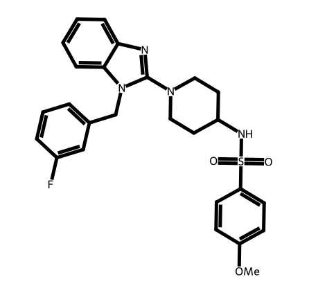 COc1ccc(S(=O)(=O)NC2CCN(c3nc4ccccc4n3Cc3cccc(F)c3)CC2)cc1